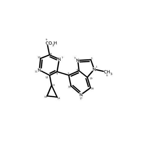 Cn1cnc2c(-c3nc(C(=O)O)cnc3C3CC3)cncc21